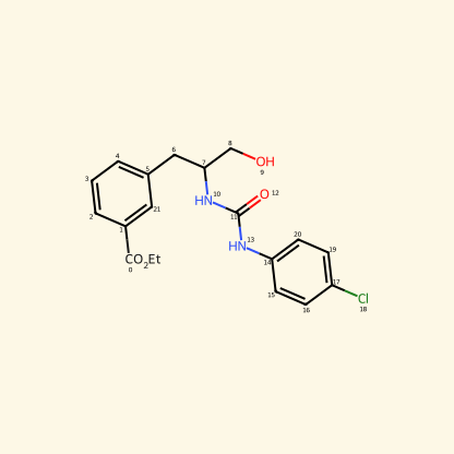 CCOC(=O)c1cccc(CC(CO)NC(=O)Nc2ccc(Cl)cc2)c1